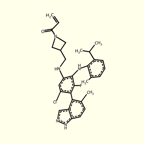 C=CC(=O)N1CC(CNc2cc(Cl)c(-c3c(C)ccc4[nH]ncc34)c(F)c2Nc2c(C)cccc2C(C)C)C1